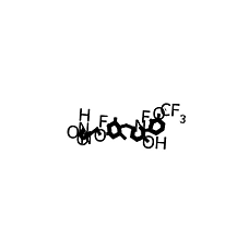 Cc1cc(OCc2noc(=O)[nH]2)c(F)c(C)c1Cc1ccc(O)c(-c2cccc(OC(F)(F)F)c2F)n1